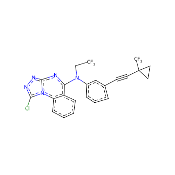 FC(F)(F)CN(c1cccc(C#CC2(C(F)(F)F)CC2)c1)c1nc2nnc(Cl)n2c2ccccc12